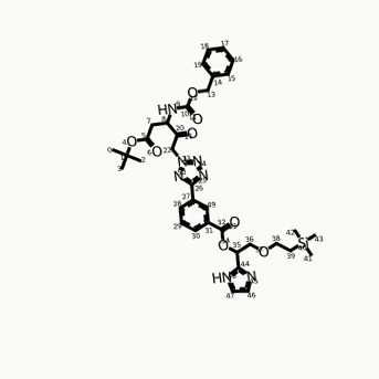 CC(C)(C)OC(=O)CC(NC(=O)OCc1ccccc1)C(=O)Cn1nnc(-c2cccc(C(=O)OC(COCC[Si](C)(C)C)c3ncc[nH]3)c2)n1